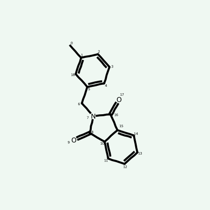 Cc1cccc(CN2C(=O)c3ccccc3C2=O)c1